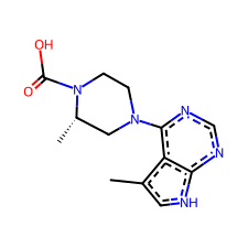 Cc1c[nH]c2ncnc(N3CCN(C(=O)O)[C@@H](C)C3)c12